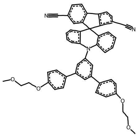 COCCOc1ccc(-c2cc(-c3ccc(OCCOC)cc3)cc(N3c4ccccc4C4(c5cc(C#N)ccc5-c5ccc(C#N)cc54)c4ccccc43)c2)cc1